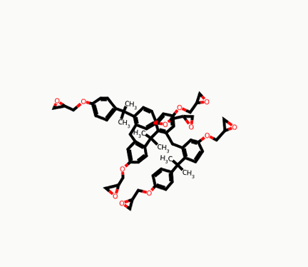 CC(C)(c1ccc(OCC2CO2)cc1)c1ccc(OCC2CO2)cc1Cc1cc(OCC2CO2)ccc1C(C)(C)c1ccc(OCC2CO2)cc1Cc1cc(OCC2CO2)ccc1C(C)(C)c1ccc(OCC2CO2)cc1